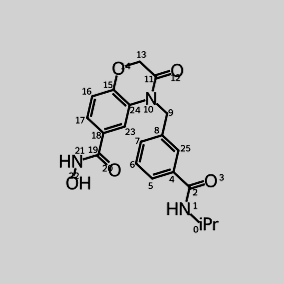 CC(C)NC(=O)c1cccc(CN2C(=O)COc3ccc(C(=O)NO)cc32)c1